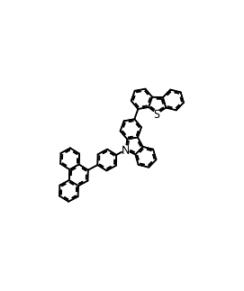 c1ccc2c(c1)cc(-c1ccc(-n3c4ccccc4c4cc(-c5cccc6c5sc5ccccc56)ccc43)cc1)c1ccccc12